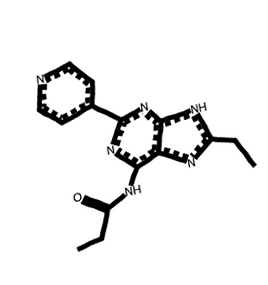 CCC(=O)Nc1nc(-c2ccncc2)nc2[nH]c(CC)nc12